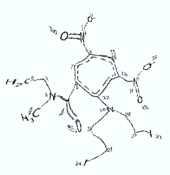 [CH2]CN(C)C(=O)c1cc([N+](=O)[O-])cc([N+](=O)[O-])c1N(CCI)CCI